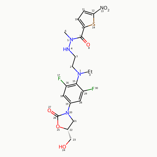 CCN(CCNN(C)C(=O)c1ccc([N+](=O)[O-])s1)c1c(F)cc(N2C[C@H](CO)OC2=O)cc1F